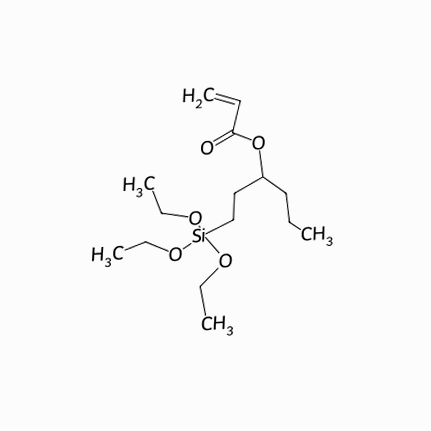 C=CC(=O)OC(CCC)CC[Si](OCC)(OCC)OCC